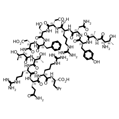 CC(C)C[C@H](NC(=O)[C@H](CCCNC(=N)N)NC(=O)[C@H](CCC(N)=O)NC(=O)[C@H](CCCNC(=N)N)NC(=O)[C@@H](NC(=O)[C@@H](NC(=O)[C@H](CC(=O)O)NC(=O)[C@H](Cc1ccccc1)NC(=O)[C@H](CO)NC(=O)[C@H](CC(=O)O)NC(=O)[C@H](CCCNC(=N)N)NC(=O)[C@H](CC(N)=O)NC(=O)[C@H](Cc1ccc(O)cc1)NC(=O)[C@H](C)NC(=O)[C@@H](N)[C@@H](C)O)[C@@H](C)O)[C@@H](C)O)C(=O)O